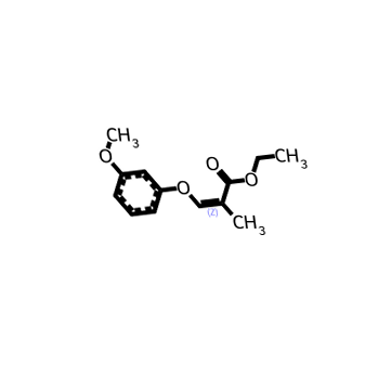 CCOC(=O)/C(C)=C\Oc1cccc(OC)c1